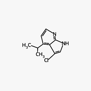 CC(C)c1ccnc2[nH]cc(Cl)c12